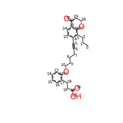 CCCc1c(C#CCCCCOc2ccccc2CCC(=O)O)ccc2c1OCCC2=O